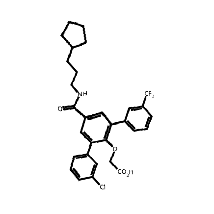 O=C(O)COc1c(-c2cccc(Cl)c2)cc(C(=O)NCCCC2CCCC2)cc1-c1cccc(C(F)(F)F)c1